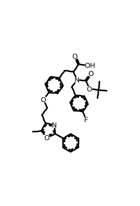 Cc1oc(-c2ccccc2)nc1CCOc1ccc(CC(C(=O)O)N(Cc2ccc(F)cc2)C(=O)OC(C)(C)C)cc1